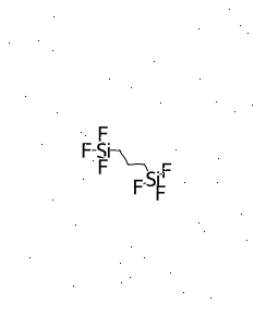 F[Si](F)(F)CCC[Si](F)(F)F